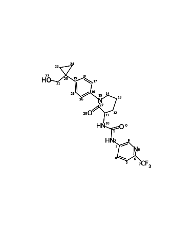 O=C(Nc1ccc(C(F)(F)F)nc1)NC1CCCN(c2ccc(C3(CO)CC3)cc2)C1=O